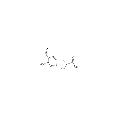 NC(Cc1ccc(O)c(N=O)c1)C(=O)O